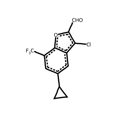 O=Cc1oc2c(C(F)(F)F)cc(C3CC3)cc2c1Cl